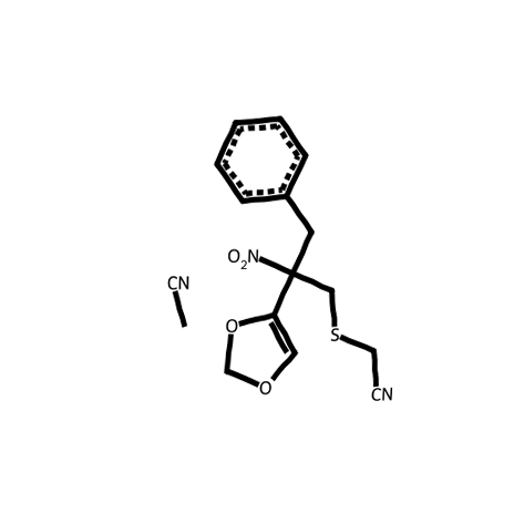 CC#N.N#CCSCC(Cc1ccccc1)(C1=COCO1)[N+](=O)[O-]